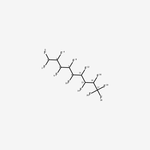 FC(F)C(F)C(F)C(F)C(F)C(F)C(F)C(F)C(F)(F)F